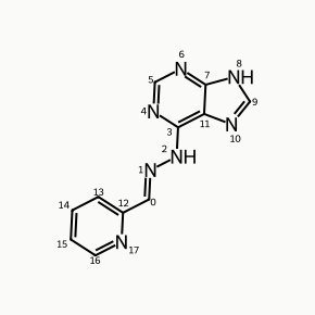 C(=N\Nc1ncnc2[nH]cnc12)/c1ccccn1